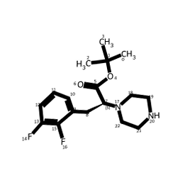 CC(C)(C)OC(=O)[C@H](Cc1cccc(F)c1F)N1CCNCC1